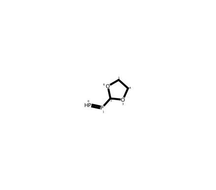 P=PC1OCCO1